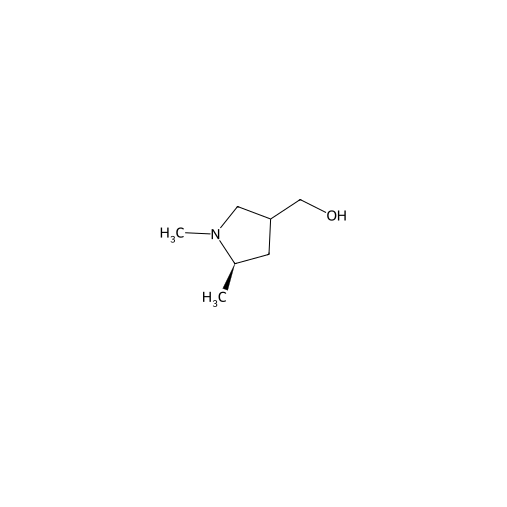 C[C@@H]1CC(CO)CN1C